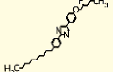 CCCCCCCCCCc1ccc(-c2ncc(-c3ccc(OCC(F)CCC)cc3)cn2)cc1